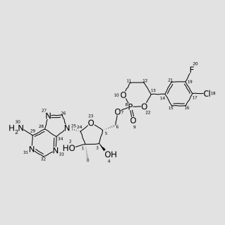 C[C@@]1(O)[C@H](O)[C@@H](COP2(=O)OCCC(c3ccc(Cl)c(F)c3)O2)O[C@H]1n1cnc2c(N)ncnc21